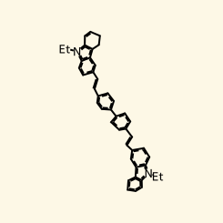 CCn1c2c(c3cc(/C=C/c4ccc(-c5ccc(/C=C/c6ccc7c(c6)c6ccccc6n7CC)cc5)cc4)ccc31)CCC=C2